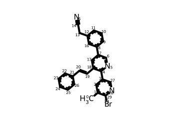 Cc1cc(-c2ncc(-c3cccc(CC#N)c3)cc2/C=C/c2ccccc2)cnc1Br